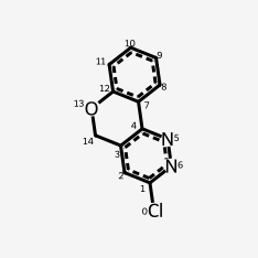 Clc1cc2c(nn1)-c1ccccc1OC2